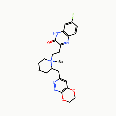 CC(C)(C)[N+]1(CCc2nc3ccc(F)cc3[nH]c2=O)CC[CH]CC1Cc1cc2c(nn1)OCCO2